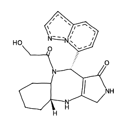 O=C1NCC2=C1[C@@H](c1cccc3ccnn13)N(C(=O)CO)C1CCCC[C@H]1N2